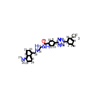 Cc1cc(-c2nnc(-c3ccc(C(=O)NCCNCc4cccc5c(N(C)C)cccc45)cc3)nn2)cc(C(F)(F)F)c1